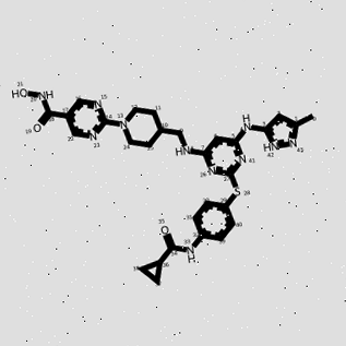 Cc1cc(Nc2cc(NCC3CCN(c4ncc(C(=O)NO)cn4)CC3)nc(Sc3ccc(NC(=O)C4CC4)cc3)n2)[nH]n1